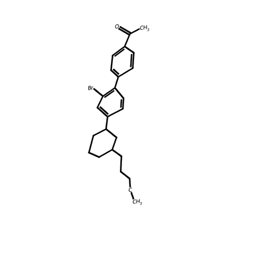 CCCCCC1CCCC(c2ccc(-c3ccc(C(C)=O)cc3)c(Br)c2)C1